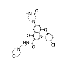 O=C1CN(c2cc3c4c(c2)c(=O)c(C(=O)NCCN2CCOCC2)cn4-c2cc(Cl)ccc2O3)CCN1